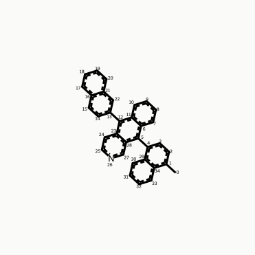 Cc1ccc(-c2c3ccccc3c(-c3ccc4ccccc4c3)c3ccncc23)c2ccccc12